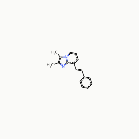 Cc1nc2c(/C=C/c3ccccc3)cccn2c1C